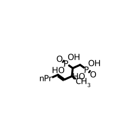 CCCC=CC(C)C(CP(=O)(O)O)P(=O)(O)O